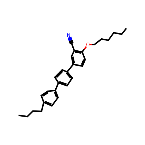 CCCCCCOc1ccc(-c2ccc(-c3ccc(CCCC)cc3)cc2)cc1C#N